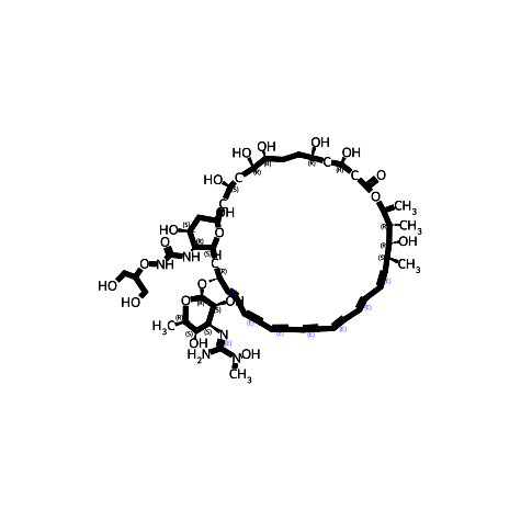 CC1OC(=O)C[C@H](O)C[C@H](O)CC[C@@H](O)[C@H](O)C[C@H](O)C[C@]2(O)C[C@H](O)[C@@H](NC(=O)NOC(CO)CO)[C@H](C[C@@H](O[C@@H]3O[C@H](C)[C@@H](O)[C@H](/N=C(\N)N(C)O)[C@@H]3O)/C=C/C=C/C=C/C=C/C=C/C=C/C=C/[C@H](C)[C@@H](O)[C@H]1C)O2